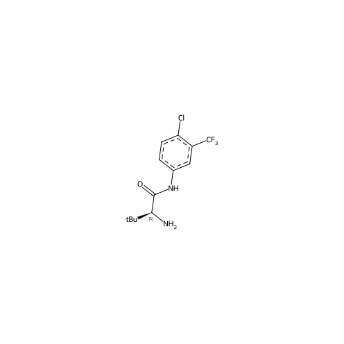 CC(C)(C)[C@H](N)C(=O)Nc1ccc(Cl)c(C(F)(F)F)c1